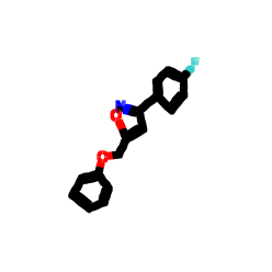 Fc1ccc(-c2cc(COc3cc[c]cc3)on2)cc1